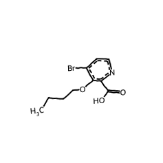 CCCCOc1c(Br)ccnc1C(=O)O